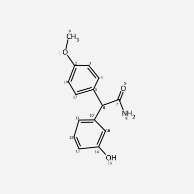 COc1ccc(C(C(N)=O)c2cccc(O)c2)cc1